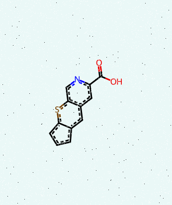 O=C(O)c1cc2cc3cccc-3sc2cn1